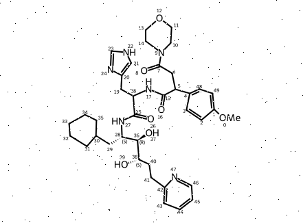 COc1ccc(C(CC(=O)N2CCOCC2)C(=O)NC(Cc2c[nH]cn2)C(=O)N[C@@H](CC2CCCCC2)[C@@H](O)[C@@H](O)CCc2ccccn2)cc1